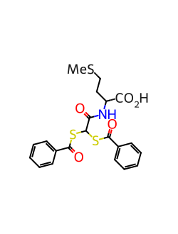 CSCCC(NC(=O)C(SC(=O)c1ccccc1)SC(=O)c1ccccc1)C(=O)O